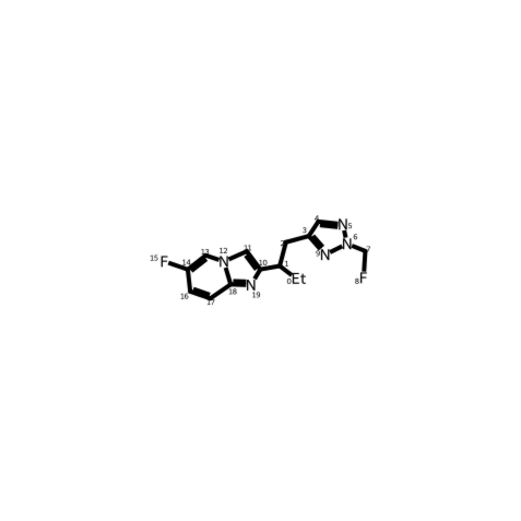 CCC(Cc1cnn(CF)n1)c1cn2cc(F)ccc2n1